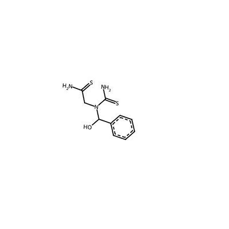 NC(=S)CN(C(N)=S)C(O)c1ccccc1